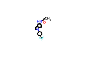 C=CC(=O)Nc1ccc2c(ccn2[C@H]2CC[C@H](C(F)(F)F)CC2)c1